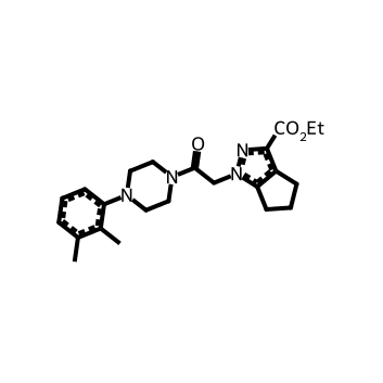 CCOC(=O)c1nn(CC(=O)N2CCN(c3cccc(C)c3C)CC2)c2c1CCC2